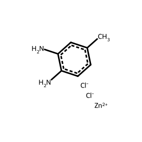 Cc1ccc(N)c(N)c1.[Cl-].[Cl-].[Zn+2]